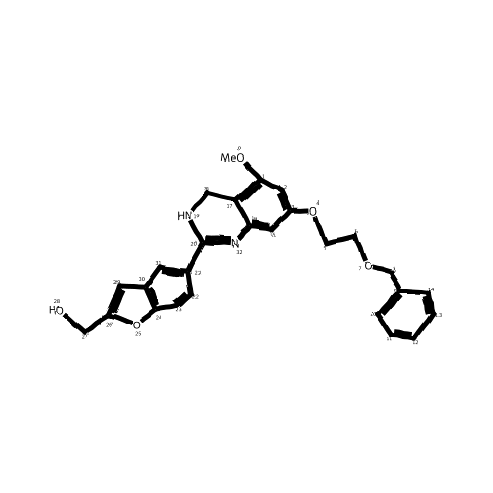 COc1cc(OCCOCc2ccccc2)cc2c1CNC(c1ccc3oc(CO)cc3c1)=N2